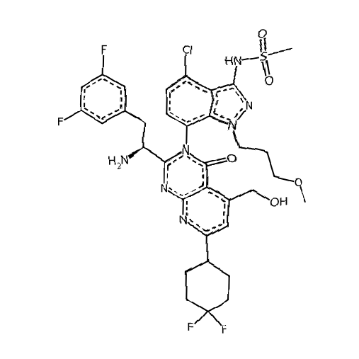 COCCCn1nc(NS(C)(=O)=O)c2c(Cl)ccc(-n3c([C@@H](N)Cc4cc(F)cc(F)c4)nc4nc(C5CCC(F)(F)CC5)cc(CO)c4c3=O)c21